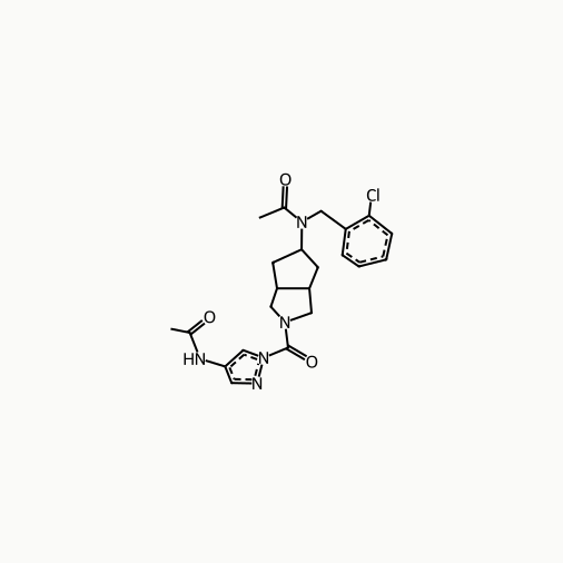 CC(=O)Nc1cnn(C(=O)N2CC3CC(N(Cc4ccccc4Cl)C(C)=O)CC3C2)c1